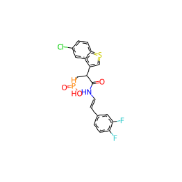 O=C(N/C=C/c1ccc(F)c(F)c1)C(C[PH](=O)O)c1csc2ccc(Cl)cc12